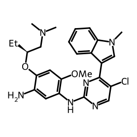 CC[C@@H](CN(C)C)Oc1cc(OC)c(Nc2ncc(Cl)c(-c3cn(C)c4ccccc34)n2)cc1N